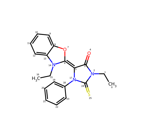 CCN1C(=O)C(=C2Oc3ccccc3N2CC)N(c2ccccc2)C1=S